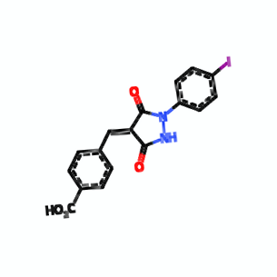 O=C1NN(c2ccc(I)cc2)C(=O)/C1=C/c1ccc(C(=O)O)cc1